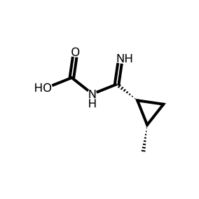 C[C@H]1C[C@H]1C(=N)NC(=O)O